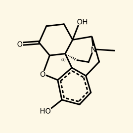 CN1CC[C@]23c4c5ccc(O)c4OC2C(=O)CCC3(O)C1C5